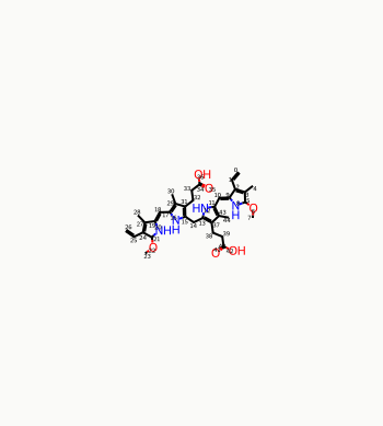 C=CC1=C(C)C(OC)N/C1=C\c1[nH]c(Cc2[nH]c(/C=C3\NC(OC)C(C=C)=C3C)c(C)c2CCC(=O)O)c(CCC(=O)O)c1C